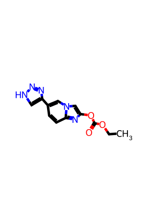 CCOC(=O)Oc1cn2cc(-c3c[nH]nn3)ccc2n1